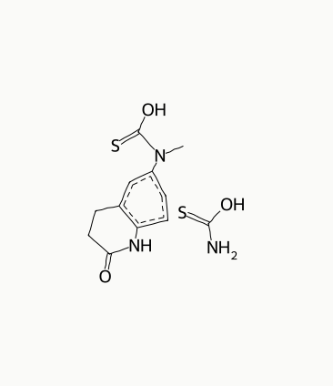 CN(C(O)=S)c1ccc2c(c1)CCC(=O)N2.NC(O)=S